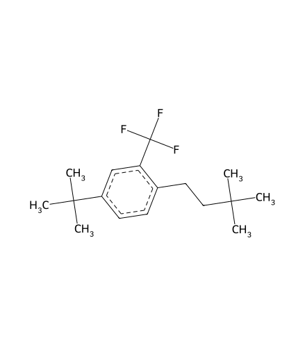 CC(C)(C)CCc1ccc(C(C)(C)C)cc1C(F)(F)F